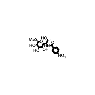 CS[C@H]1O[C@H]([C@H](NC(=O)c2ccc([N+](=O)[O-])cc2)[C@@H](C)O)[C@H](O)[C@H](O)[C@H]1O